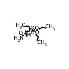 CCCCO[Si](C)(OCCCC)OC(CCC)CCNC(N)=O